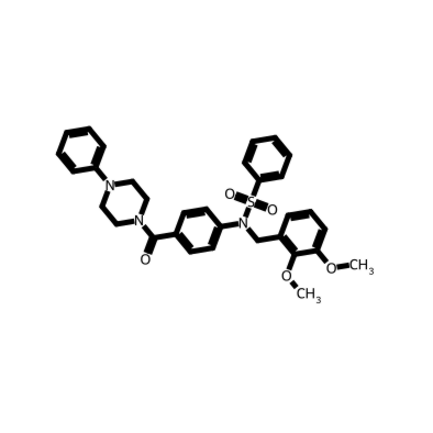 COc1cccc(CN(c2ccc(C(=O)N3CCN(c4ccccc4)CC3)cc2)S(=O)(=O)c2ccccc2)c1OC